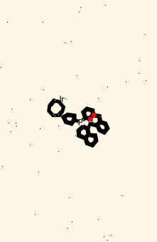 C1=C\CC/C=C\CC/1.[Ir].c1ccc(P(c2ccccc2)c2ccc3ccccc3c2-c2nccc3ccccc23)cc1